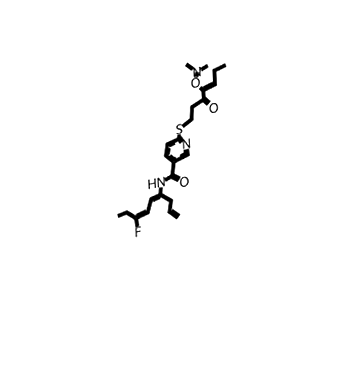 C=CC/C(=C\C=C(\F)CC)NC(=O)c1ccc(SCCC(=O)/C(=C/CC)ON(C)C)nc1